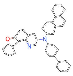 c1ccc(-c2ccc(N(c3ccc4c(ccc5ccccc54)c3)c3cnc4c(ccc5oc6ccccc6c54)c3)cc2)cc1